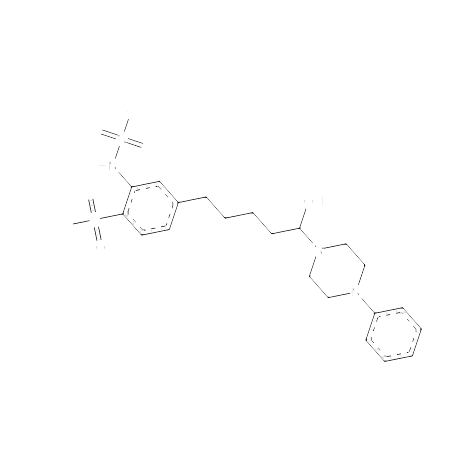 CS(=O)(=O)Nc1cc(CCCCC(O)N2CCN(c3ccccc3)CC2)ccc1S(C)(=O)=O